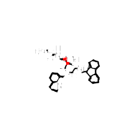 CCOC(OCC)[C@H](C)N(Cc1cccc2cccnc12)C(=O)[C@H](CCCCNC(=O)OC(C)(C)C)NCC1c2ccccc2-c2ccccc21